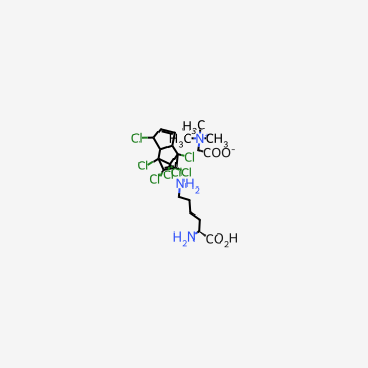 C[N+](C)(C)CC(=O)[O-].ClC1=C(Cl)C2(Cl)C3C(Cl)C=CC3C1(Cl)C2(Cl)Cl.NCCCC[C@H](N)C(=O)O